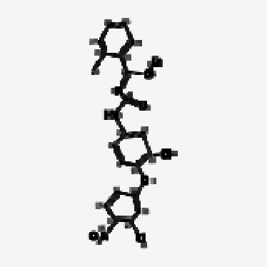 CCOC(=NC(=O)Nc1ccc(Oc2ccc([N+](=O)[O-])c(Cl)c2)c(Cl)c1)c1ccccc1C